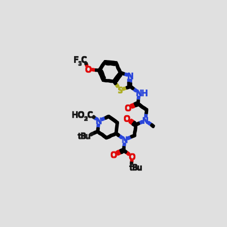 CN(CC(=O)Nc1nc2ccc(OC(F)(F)F)cc2s1)C(=O)CN(C(=O)OC(C)(C)C)C1CCN(C(=O)O)C(C(C)(C)C)C1